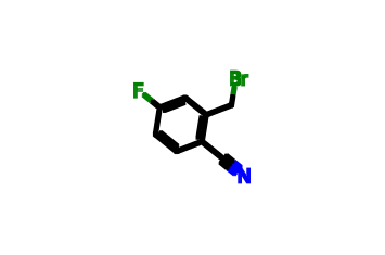 N#Cc1ccc(F)cc1CBr